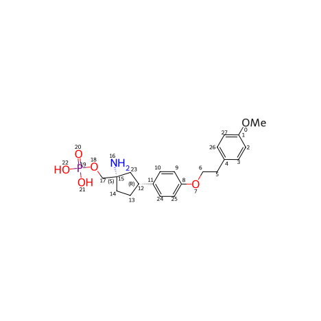 COc1ccc(CCOc2ccc([C@@H]3CC[C@@](N)(COP(=O)(O)O)C3)cc2)cc1